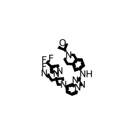 N#CCC1(n2cc(C(F)(F)F)cn2)CN(c2cccn3nc(Nc4ccc5c(c4)CCN(C4COC4)C5)nc23)C1